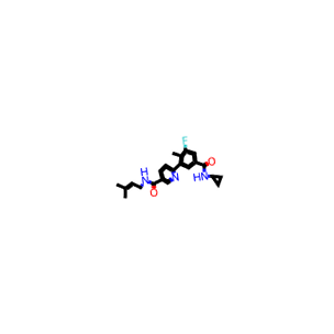 CC(C)=CCNC(=O)c1ccc(-c2cc(C(=O)NC3CC3)cc(F)c2C)nc1